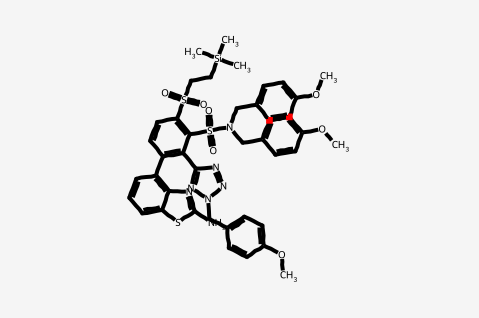 COc1ccc(CN(Cc2ccc(OC)cc2)S(=O)(=O)c2c(S(=O)(=O)CC[Si](C)(C)C)ccc(-c3cccc4sc(N)nc34)c2-c2nnn(Cc3ccc(OC)cc3)n2)cc1